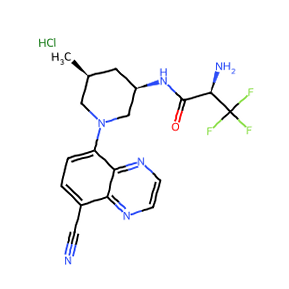 C[C@H]1C[C@@H](NC(=O)[C@@H](N)C(F)(F)F)CN(c2ccc(C#N)c3nccnc23)C1.Cl